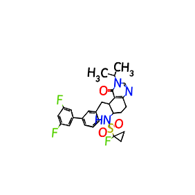 CC(C)n1cnc2c(c1=O)C(Cc1cccc(-c3cc(F)cc(F)c3)c1)C(NS(=O)(=O)C1(F)CC1)CC2